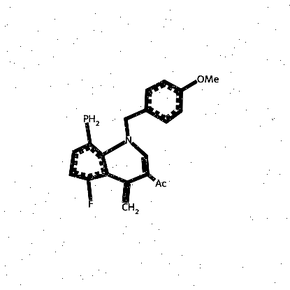 C=C1C(C(C)=O)=CN(Cc2ccc(OC)cc2)c2c(P)ccc(F)c21